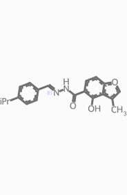 Cc1coc2ccc(C(=O)N/N=C/c3ccc(C(C)C)cc3)c(O)c12